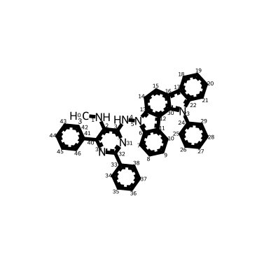 CNc1c(Nn2c3ccccc3c3c2ccc2c4ccccc4n(-c4ccccc4)c23)nc(-c2ccccc2)nc1-c1ccccc1